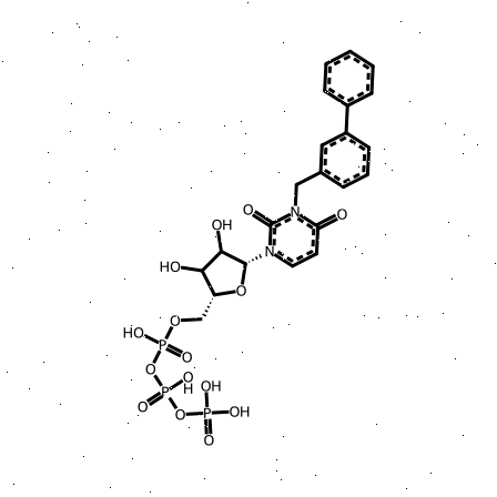 O=c1ccn([C@@H]2O[C@H](COP(=O)(O)OP(=O)(O)OP(=O)(O)O)C(O)C2O)c(=O)n1Cc1cccc(-c2ccccc2)c1